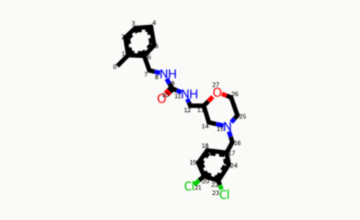 Cc1ccccc1CNC(=O)NCC1CN(Cc2ccc(Cl)c(Cl)c2)CCO1